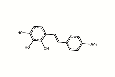 COc1ccc(C=Cc2ccc(O)c(O)c2O)cc1